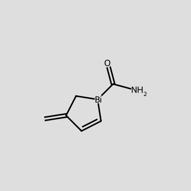 C=C1C=[CH][Bi]([C](N)=O)[CH2]1